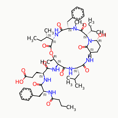 CCCC(=O)N[C@@H](Cc1ccccc1)C(=O)N[C@@H](CCC(=O)O)C(=O)N[C@@H]1C(=O)N[C@@H](CC(C)C)C(=O)N[C@H]2CC[C@@H](O)N(C2=O)[C@@H](C(C)C)C(=O)N(C)[C@@H](Cc2ccccc2)C(=O)N[C@@H]([C@@H](C)CC)C(=O)O[C@@H]1C